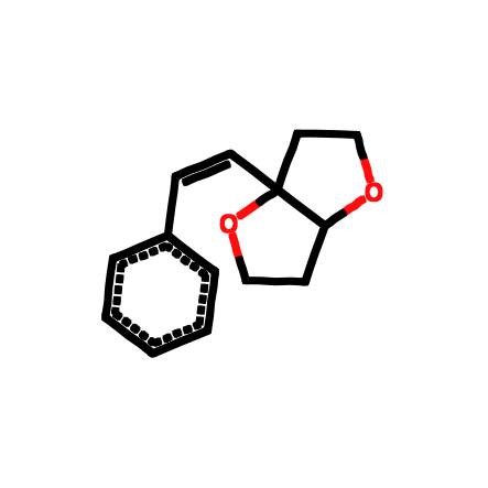 C(=C/C12CCOC1CCO2)/c1ccccc1